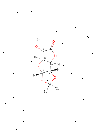 CCO[C@@H]1C(=O)O[C@H]2[C@@H]3OC(CC)(CC)O[C@@H]3O[C@H]21